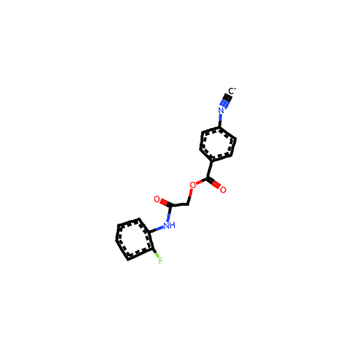 [C-]#[N+]c1ccc(C(=O)OCC(=O)Nc2ccccc2F)cc1